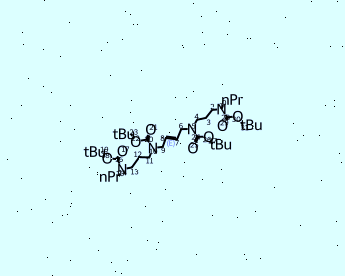 CCCN(CCCN(C/C=C/CN(CCCN(CCC)C(=O)OC(C)(C)C)C(=O)OC(C)(C)C)C(=O)OC(C)(C)C)C(=O)OC(C)(C)C